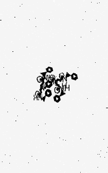 O=C(CCN(CCC(=O)N[C@H]1C[C@@H]1c1ccccc1)Cc1ccc(C(=O)N(CCC(=O)N[C@H]2C[C@@H]2c2ccccc2)CCC(=O)N[C@H]2C[C@@H]2c2ccccc2)cc1)N[C@H]1C[C@@H]1c1ccccc1